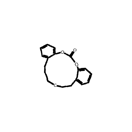 O=C1Oc2ccccc2CCCCCCc2ccccc2O1